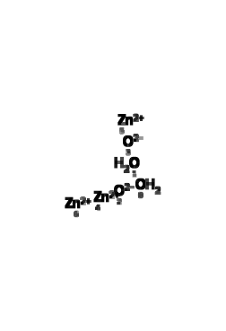 O.O.[O-2].[O-2].[Zn+2].[Zn+2].[Zn+2]